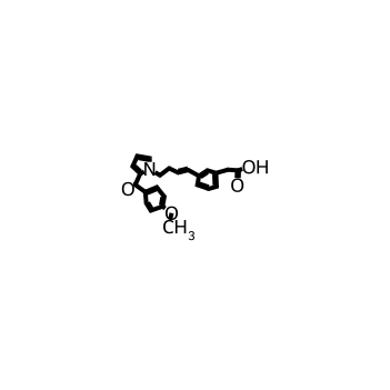 COc1ccc(C(=O)c2cccn2CC/C=C/c2cccc(CC(=O)O)c2)cc1